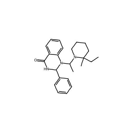 CCC1(C)CCCCN1C(C)N1c2ccccc2C(=O)NC1c1ccccc1